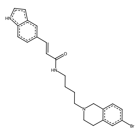 O=C(C=Cc1ccc2[nH]ccc2c1)NCCCCN1CCc2cc(Br)ccc2C1